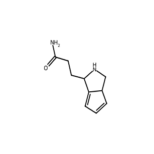 NC(=O)CCC1NCC2C=CC=C21